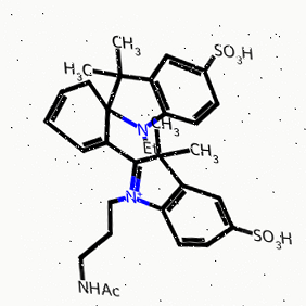 CCN1c2ccc(S(=O)(=O)O)cc2C(C)(C)C12CC=CC=C2C1=[N+](CCCNC(C)=O)c2ccc(S(=O)(=O)O)cc2C1(C)C